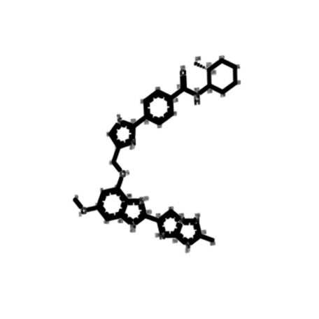 COc1cc(OCc2csc(-c3ccc(C(=O)NC4CCCC[C@H]4C)cc3)n2)c2sc(-c3cn4nc(C)sc4n3)nc2c1